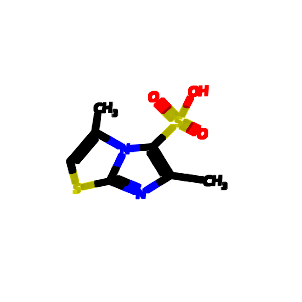 Cc1nc2scc(C)n2c1S(=O)(=O)O